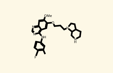 COc1cc2ncnc(Nc3ccc(F)c(C)c3)c2cc1OCCCN1CCC2CCNCC21